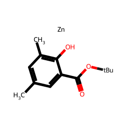 Cc1cc(C)c(O)c(C(=O)OC(C)(C)C)c1.[Zn]